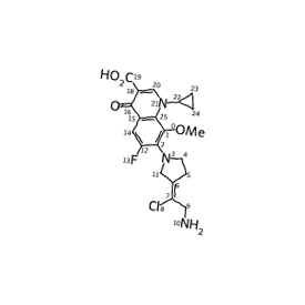 COc1c(N2CC/C(=C(/Cl)CN)C2)c(F)cc2c(=O)c(C(=O)O)cn(C3CC3)c12